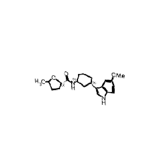 COc1ccc2[nH]cc([C@@H]3CCC[C@H](NC(=O)[C@@H]4CCC(C)O4)C3)c2c1